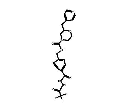 O=C(NNC(=O)C(F)(F)F)c1ccc(CNC(=O)N2CCOC(Cc3ccncc3)C2)cc1